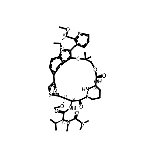 CCn1c(-c2cccnc2[C@H](C)OC)c2c3cc(ccc31)-c1csc(n1)[C@@H](OC)[C@H](NC(=O)[C@H](C(C)C)N(C)C(=O)N(C)C)C(=O)N1CCC[C@@](O)(N1)C(=O)OCC(C)(C)C2